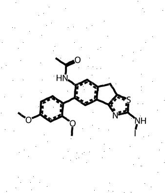 COc1ccc(-c2cc3c(cc2NC(C)=O)Cc2sc(NI)nc2-3)c(OC)c1